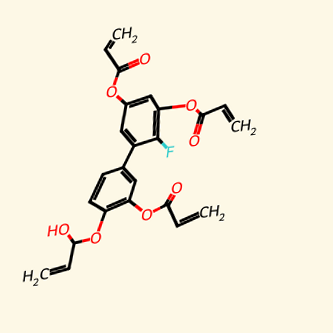 C=CC(=O)Oc1cc(OC(=O)C=C)c(F)c(-c2ccc(OC(O)C=C)c(OC(=O)C=C)c2)c1